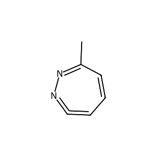 CC1=NN=C=CC=C1